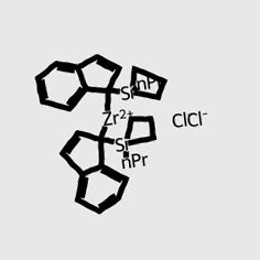 CCC[Si]1([C]2([Zr+2][C]3([Si]4(CCC)CCC4)C=Cc4ccccc43)C=Cc3ccccc32)CCC1.[Cl-].[Cl-]